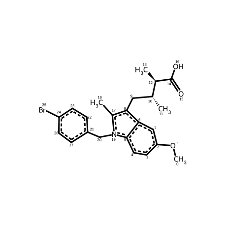 COc1ccc2c(c1)c(C[C@@H](C)[C@@H](C)C(=O)O)c(C)n2Cc1ccc(Br)cc1